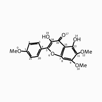 COc1ccc(-c2oc3cc(OC)c(OC)c(O)c3c(=O)c2O)cc1